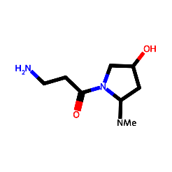 CNC1CC(O)CN1C(=O)CCN